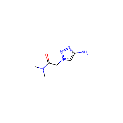 CN(C)C(=O)Cn1cc(N)nn1